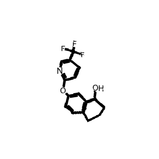 OC1CCCc2ccc(Oc3ccc(C(F)(F)F)cn3)cc21